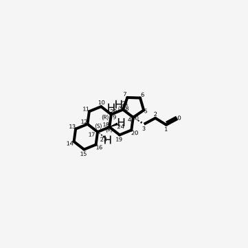 C=CCC[C@@]12CCC[C@H]1[C@@H]1CCC3CCCC[C@@H]3[C@H]1CC2